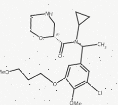 COCCCOc1cc(C(C)N(C(=O)[C@H]2CNCCO2)C2CC2)cc(Cl)c1OC